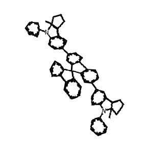 CC12CCCC1c1cc(-c3ccc4c(c3)C3(c5ccccc5-c5ccccc53)c3cc(-c5ccc6c(c5)C5CCCC5(C)N6c5ccccc5)ccc3-4)ccc1N2c1ccccc1